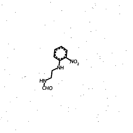 O=CNCCNc1ccccc1[N+](=O)[O-]